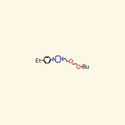 CCc1ccc(N2CCN(CCOCCOC(C)CC)CC2)cc1